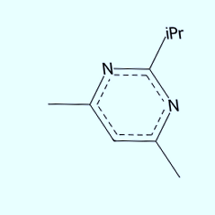 Cc1cc(C)nc(C(C)C)n1